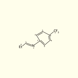 CCC=Nc1ccc(C(F)(F)F)cc1